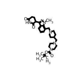 Cn1nc(C2CCC(=O)NC2=O)c2cccc(CN3CCC(CN4CCN(C(=O)OC(C)(C)C)CC4)CC3)c21